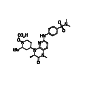 C[C@@H]1C(=O)N(C)c2ccc(Nc3ccc(S(=O)(=O)N(C)C)cc3)nc2N1C1CCN(OC(=O)O)C(C(C)(C)C)C1